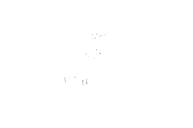 COc1ccc(/C=C\c2ccc3c(ccn3C)c2)cc1[N+](=O)[O-]